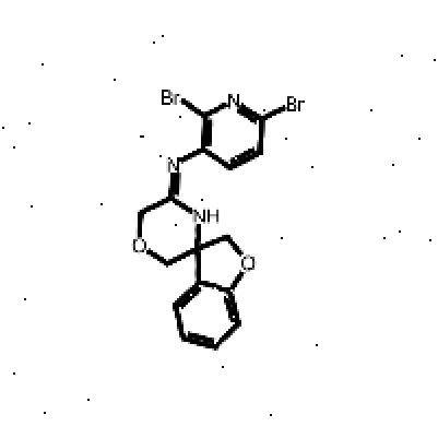 Brc1ccc(/N=C2/COCC3(COc4ccccc43)N2)c(Br)n1